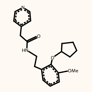 COc1cccc(CCNC(=O)Cc2ccncc2)c1OC1CCCC1